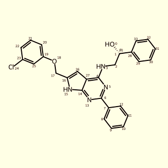 O[C@@H](CNc1nc(-c2ccccc2)nc2[nH]c(COc3cccc(Cl)c3)cc12)c1ccccc1